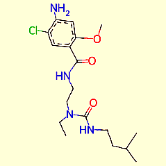 CCN(CCNC(=O)c1cc(Cl)c(N)cc1OC)C(=O)NCCC(C)C